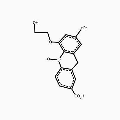 CCCc1cc2c(c(OCCO)c1)[S+]([O-])c1ccc(C(=O)O)cc1C2